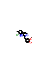 COc1ccc(CC2NCCc3c2[nH]c2c(Br)c(C)ccc32)cc1OC